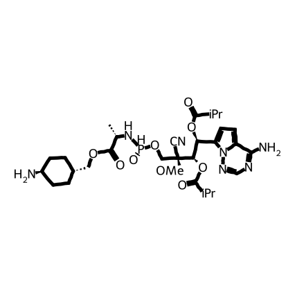 CO[C@](C#N)(CO[PH](=O)N[C@@H](C)C(=O)OC[C@H]1CC[C@H](N)CC1)[C@@H](OC(=O)C(C)C)[C@@H](OC(=O)C(C)C)c1ccc2c(N)ncnn12